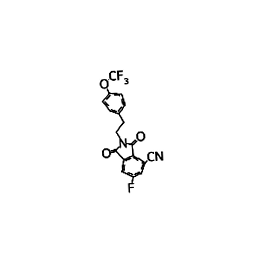 N#Cc1cc(F)cc2c1C(=O)N(CCc1ccc(OC(F)(F)F)cc1)C2=O